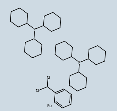 C1CCC(P(C2CCCCC2)C2CCCCC2)CC1.C1CCC(P(C2CCCCC2)C2CCCCC2)CC1.ClC(Cl)c1ccccc1.[Ru]